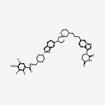 O=C1CCN(c2cnn3cc(CCCN4CCO[C@@]5(CCN(c6ccc7cn([C@H]8CC[C@H](CNC(=O)c9cc(F)c(O)c(F)c9F)CC8)nc7c6)C5)C4)ccc23)C(=O)N1